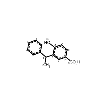 CC(c1ccccc1)c1cc(S(=O)(=O)O)ccc1O